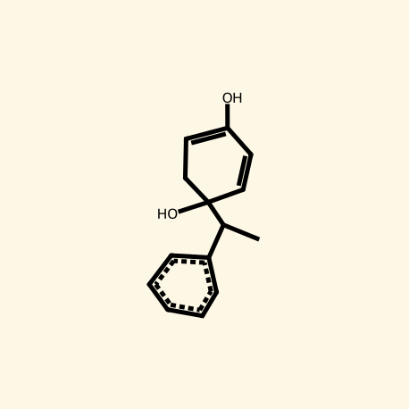 CC(c1ccccc1)C1(O)C=CC(O)=CC1